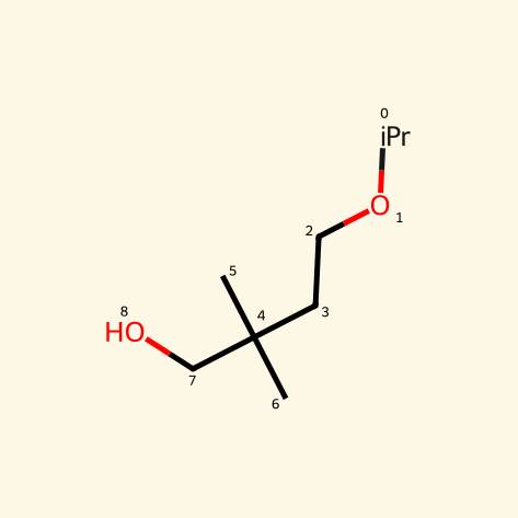 CC(C)OCCC(C)(C)CO